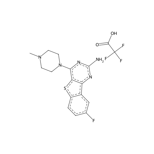 CN1CCN(c2nc(N)nc3c2sc2ccc(F)cc23)CC1.O=C(O)C(F)(F)F